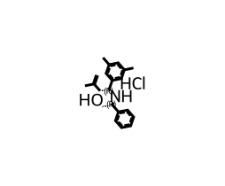 C=C(C)C[C@@H](N[C@@H](CO)c1ccccc1)c1cc(C)cc(C)c1.Cl